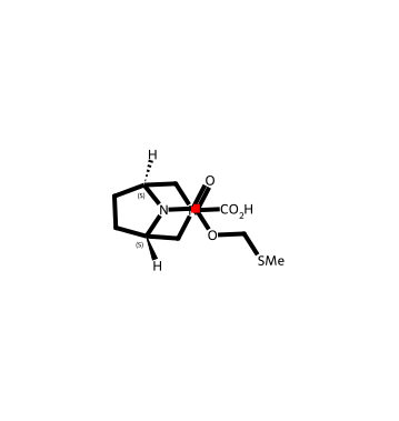 CSCOC(=O)N1[C@H]2CC[C@H]1CN(C(=O)O)C2